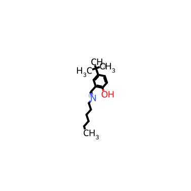 CCCCCC/N=C/c1cc(C(C)(C)C)ccc1O